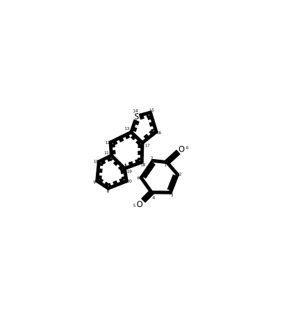 O=C1C=CC(=O)C=C1.c1ccc2cc3sccc3cc2c1